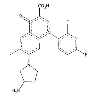 NC1CCN(c2cc3c(cc2F)c(=O)c(C(=O)O)cn3-c2ccc(F)cc2F)C1